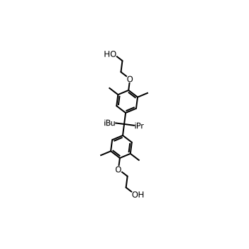 CCC(C)C(c1cc(C)c(OCCO)c(C)c1)(c1cc(C)c(OCCO)c(C)c1)C(C)C